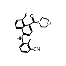 Cc1c(C#N)cccc1Nc1ccc(C(=O)N2CCOCC2)c2c(F)cccc12